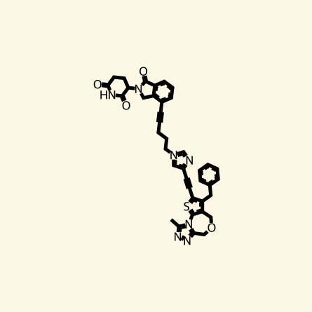 Cc1nnc2n1-c1sc(C#Cc3cn(CCCC#Cc4cccc5c4CN(C4CCC(=O)NC4=O)C5=O)cn3)c(Cc3ccccc3)c1COC2